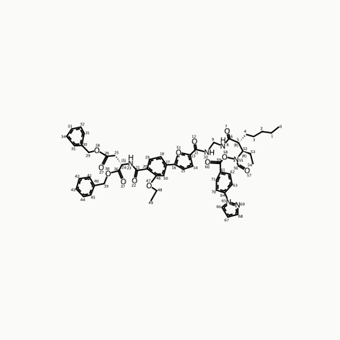 CCCCC[C@@H](C(=O)NCNC(=O)c1ccc(-c2ccc(C(=O)N[C@@H](CC(=O)OCc3ccccc3)C(=O)OCc3ccccc3)c(OCC)c2)o1)[C@@H](CC)N(C=O)OC(=O)c1ccc(-n2cccn2)cc1